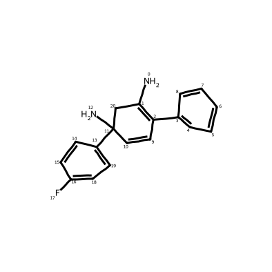 NC1=C(c2ccccc2)C=CC(N)(c2ccc(F)cc2)C1